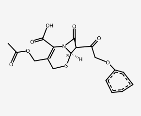 CC(=O)OCC1=C(C(=O)O)N2C(=O)C(C(=O)COc3ccccc3)[C@H]2SC1